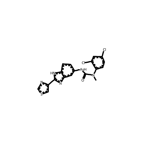 CN(C(=O)[AsH]c1ccc2[nH]c(-c3cscn3)nc2c1)c1ccc(Cl)cc1Cl